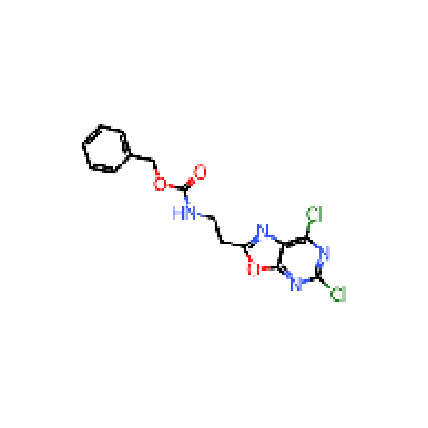 O=C(NCCc1nc2c(Cl)nc(Cl)nc2o1)OCc1ccccc1